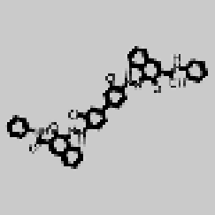 O=C(Nc1ccccc1)C1=Cc2ccccc2/C(=N\Nc2ccc(-c3ccc(N/N=C4/C(=O)C(C(O)NC5C=CC=CC5)=Cc5ccccc54)c(Cl)c3)cc2Cl)C1=O